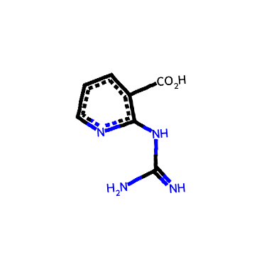 N=C(N)Nc1ncccc1C(=O)O